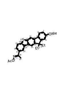 CCC1(CC)c2cc(OC)ccc2-c2cc3sc4ccc(/C(C)=N/OC(C)=O)cc4c3cc21